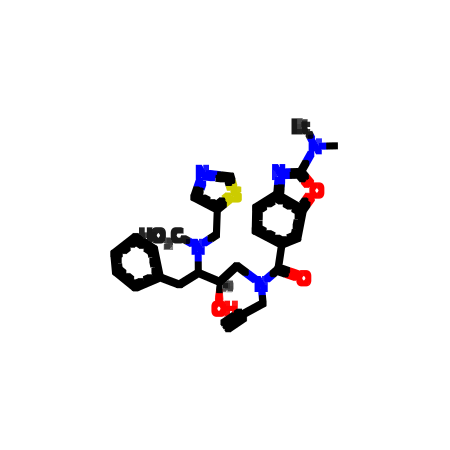 C#CCN(C[C@@H](O)C(Cc1ccccc1)N(Cc1cncs1)C(=O)O)C(=O)c1ccc2nc(N(C)CC)oc2c1